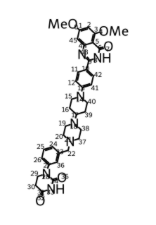 COc1cc(OC)c2c(=O)[nH]c(-c3ccc(N4CCC(N5CCN(Cc6cccc(N7CCC(=O)NC7=O)c6)CC5)CC4)cc3)nc2c1